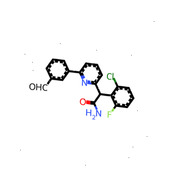 NC(=O)C(c1cccc(-c2cccc(C=O)c2)n1)c1c(F)cccc1Cl